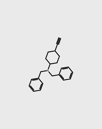 C#CC1CCC(N(Cc2ccccc2)Cc2ccccc2)CC1